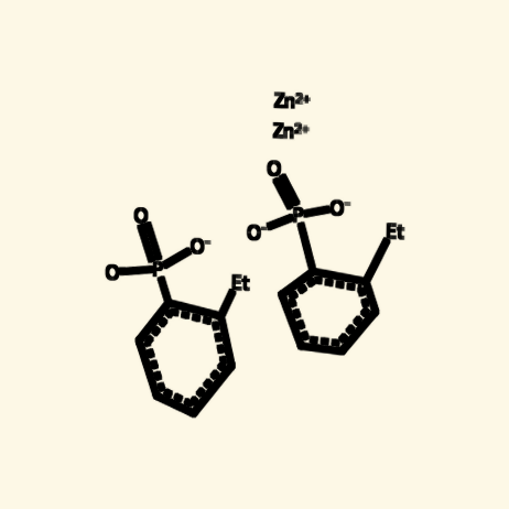 CCc1ccccc1P(=O)([O-])[O-].CCc1ccccc1P(=O)([O-])[O-].[Zn+2].[Zn+2]